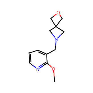 COc1ncccc1CN1CC2(COC2)C1